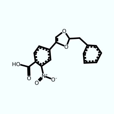 O=C(O)c1ccc(C2=COC(Cc3ccccc3)O2)cc1[N+](=O)[O-]